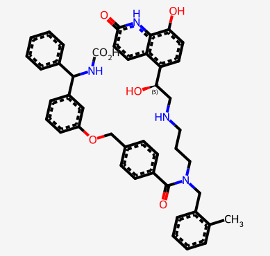 Cc1ccccc1CN(CCCNC[C@@H](O)c1ccc(O)c2[nH]c(=O)ccc12)C(=O)c1ccc(COc2cccc(C(NC(=O)O)c3ccccc3)c2)cc1